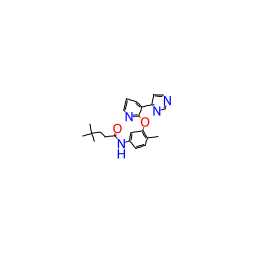 Cc1ccc(NC(=O)CCC(C)(C)C)cc1Oc1ncccc1-c1ccncn1